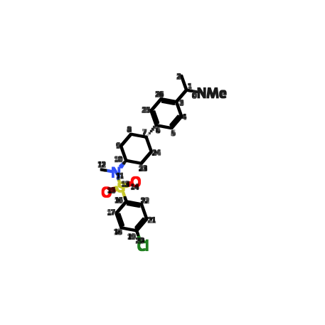 CNC(C)c1ccc([C@H]2CC[C@H](N(C)S(=O)(=O)c3ccc(Cl)cc3)CC2)cc1